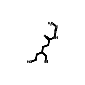 O=C(CCC(CS)CCO)N/B=N/P